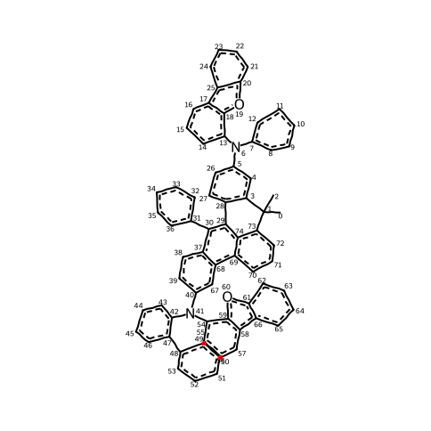 CC1(C)c2cc(N(c3ccccc3)c3cccc4c3oc3ccccc34)ccc2-c2c(-c3ccccc3)c3ccc(N(c4ccccc4-c4ccccc4)c4cccc5c4oc4ccccc45)cc3c3cccc1c23